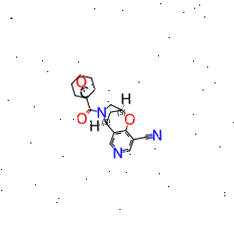 N#Cc1cncc2c1O[C@H]1C[C@@H]2N(C(=O)C23CCC(CC2)OC3)C1